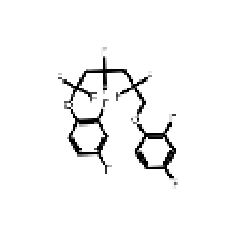 Fc1ccc(OCC(F)(F)CC(F)(F)CC(F)(F)Oc2ccc(F)cc2F)c(F)c1